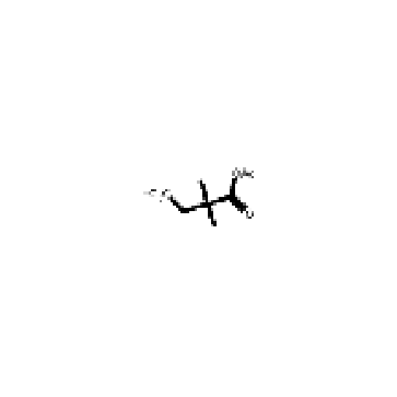 CC(=O)OC(=O)C(C)(C)CC(=O)O